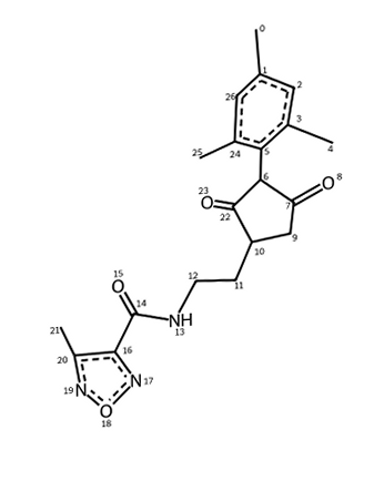 Cc1cc(C)c(C2C(=O)CC(CCNC(=O)c3nonc3C)C2=O)c(C)c1